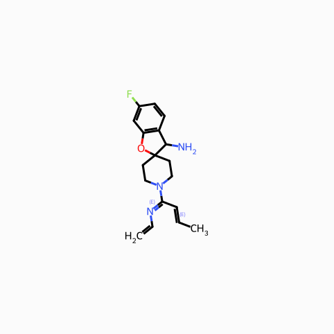 C=C/N=C(\C=C\C)N1CCC2(CC1)Oc1cc(F)ccc1C2N